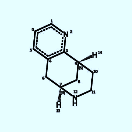 c1cnc2c(c1)C[C@H]1C[C@@H]2CCN1